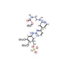 COc1cc(Nc2nccc(-c3ccnc(N(C)CCN(C)C(=O)OC(C)(C)C)c3)n2)cc(COS(C)(=O)=O)c1OC